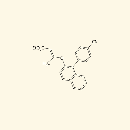 CCOC(=O)/C=C(\C)Oc1ccc2ccccc2c1-c1ccc(C#N)cc1